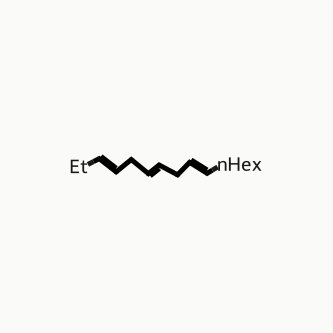 [CH2]CCCCC/C=C/C/C=C/C/C=C/CC